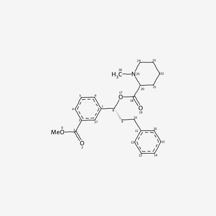 COC(=O)c1cccc([C@@H](CCc2ccccc2)OC(=O)C2CCCCN2C)c1